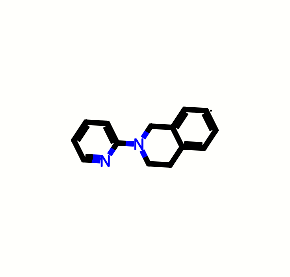 [c]1ccc2c(c1)CN(c1ccccn1)CC2